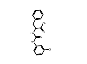 O=C(Nc1cccc(Cl)c1)NC(Cc1ccccc1)C(=O)O